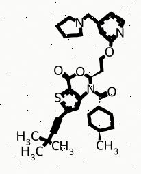 CC(C)(C)C#Cc1cc2c(s1)C(=O)O[C@@H](CCOc1cc(CN3CCCC3)ccn1)N2C(=O)[C@H]1CC[C@H](C)CC1